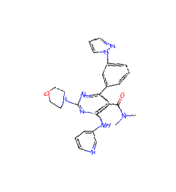 CN(C)C(=O)c1c(Nc2cccnc2)nc(N2CCOCC2)nc1-c1cccc(-n2cccn2)c1